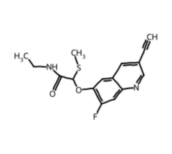 C#Cc1cnc2cc(F)c(OC(SC)C(=O)NCC)cc2c1